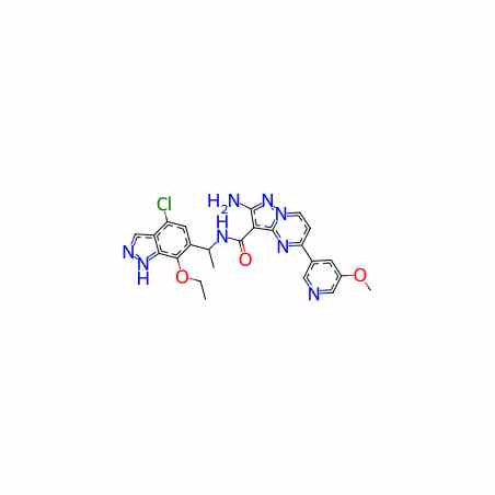 CCOc1c(C(C)NC(=O)c2c(N)nn3ccc(-c4cncc(OC)c4)nc23)cc(Cl)c2cn[nH]c12